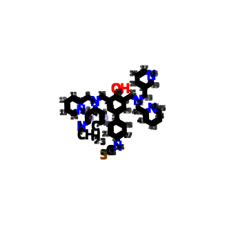 C=N/C=C/C(/C=C\C)N(Cc1ccccn1)Cc1cc(-c2ccc(N=C=S)cc2)cc(CN(Cc2cccnc2)Cc2ccccn2)c1O